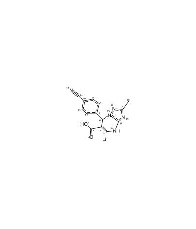 CC1=C(C(=O)O)C(c2ccc(C#N)cc2)n2nc(C)nc2N1